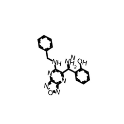 N/N=C(\c1ccccc1O)c1nc2nonc2nc1NCc1ccccc1